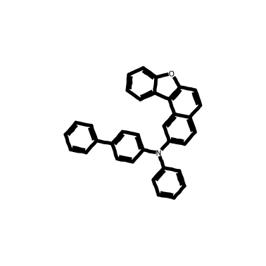 c1ccc(-c2ccc(N(c3ccccc3)c3ccc4ccc5oc6ccccc6c5c4c3)cc2)cc1